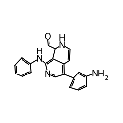 Nc1cccc(-c2cnc(Nc3ccccc3)c3c2C=CNC3C=O)c1